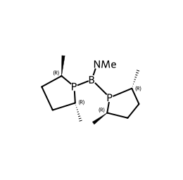 CNB(P1[C@H](C)CC[C@H]1C)P1[C@H](C)CC[C@H]1C